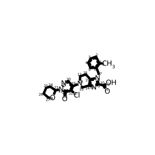 Cc1ccccc1Cn1c(C(=O)O)nc2c1CCN(c1cnn(C3CCCCO3)c(=O)c1Cl)C2